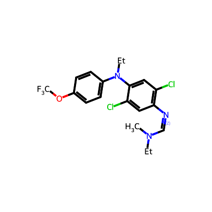 CCN(C)/C=N\c1cc(Cl)c(N(CC)c2ccc(OC(F)(F)F)cc2)cc1Cl